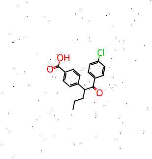 CCCC(C(=O)c1ccc(Cl)cc1)c1ccc(C(=O)O)cc1